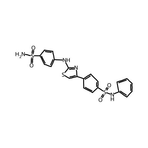 NS(=O)(=O)c1ccc(Nc2nc(-c3ccc(S(=O)(=O)Nc4ccccc4)cc3)cs2)cc1